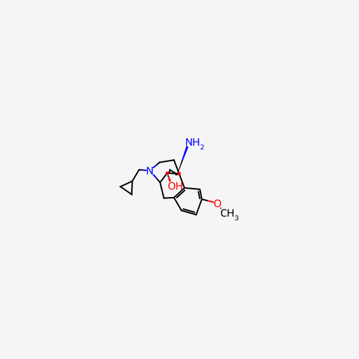 COc1ccc2c(c1)C13CCN(CC4CC4)C(C2)[C@]1(O)CC[C@@H](N)C3